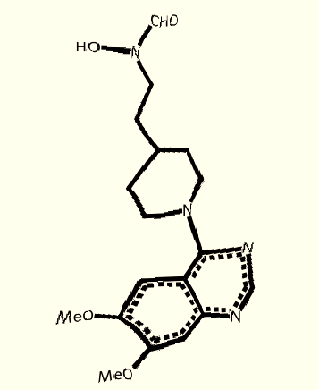 COc1cc2ncnc(N3CCC(CCN(O)C=O)CC3)c2cc1OC